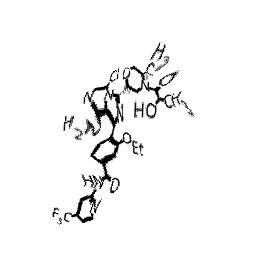 CCOc1cc(C(=O)Nc2cc(C(F)(F)F)ccn2)ccc1-c1nc([C@H]2CN(C(=O)C(C)O)[C@@H](C)CO2)n2c(Cl)cnc(N)c12